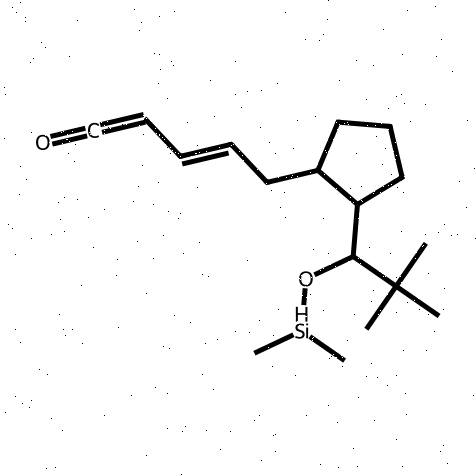 C[SiH](C)OC(C1CCCC1CC=CC=C=O)C(C)(C)C